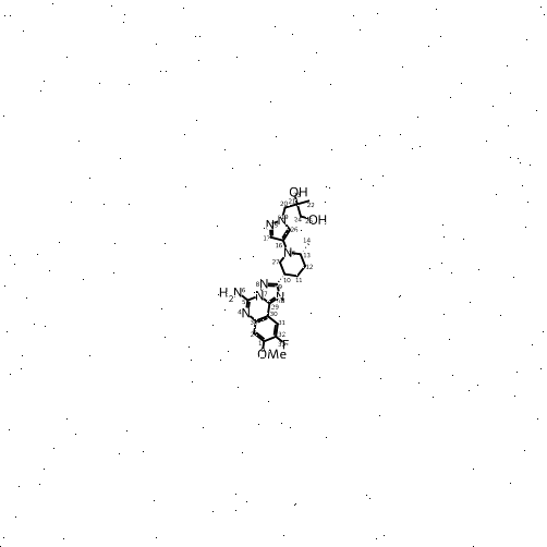 COc1cc2nc(N)n3nc([C@H]4CC[C@@H](C)N(c5cnn(CC(C)(O)CO)c5)C4)nc3c2cc1F